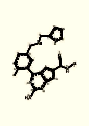 CCNC(=O)c1cc2c(-c3cc(CNCc4cccs4)ccc3C)nc(N)nc2s1